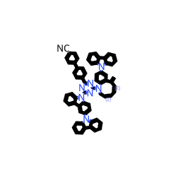 C=C1/C=C\C=C/CN(c2nc(-c3ccc(-c4ccc(C#N)cc4)cc3)nc(-n3c4ccccc4c4cc(-n5c6ccccc6c6ccccc65)ccc43)n2)c2ccc(-n3c4ccccc4c4ccccc43)cc21